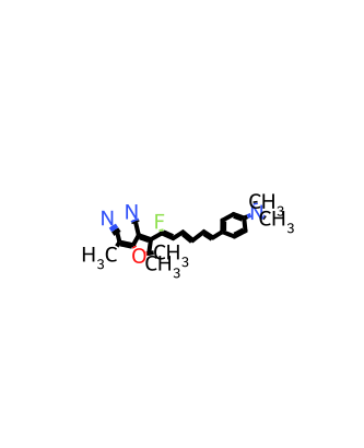 C/C(C#N)=C1\OC(C)(C)C(C(/F)=C/C=C/C=C/c2ccc(N(C)C)cc2)=C1C#N